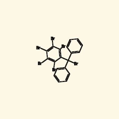 Brc1c(Br)c(Br)c(C(Br)(c2ccccc2)c2ccccc2)c(Br)c1Br